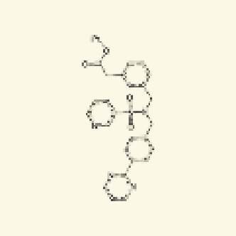 CC(C)OC(=O)Cc1cccc(CN(Cc2ccc(-c3ncccn3)cc2)S(=O)(=O)c2cccnc2)c1